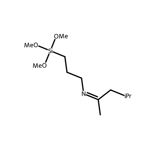 CO[Si](CCCN=C(C)CC(C)C)(OC)OC